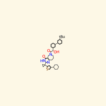 CC(C)(C)c1cccc(-c2cccc([C@@H](O)C(=O)N3CCCc4nc(C5(c6cc(C7CCCCC7)cs6)CC5)[nH]c(=O)c4C3)c2)c1